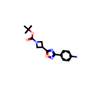 CC(C)(C)OC(=O)N1CC(c2nc(-c3ccc(I)cc3)no2)C1